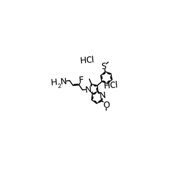 COc1ccc2c(n1)c(-c1cccc(SC)c1)c(C)n2C/C(F)=C/CN.Cl.Cl